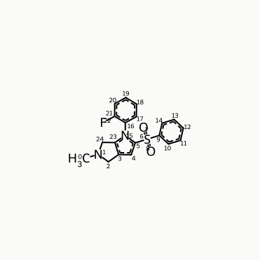 CN1Cc2cc(S(=O)(=O)c3ccccc3)n(-c3ccccc3F)c2C1